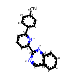 N#Cc1ccc(-c2cccc(-c3ncc4ccccc4n3)n2)cc1